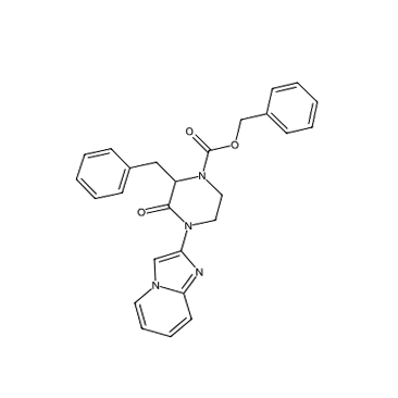 O=C1C(Cc2ccccc2)N(C(=O)OCc2ccccc2)CCN1c1cn2ccccc2n1